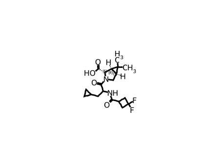 CC1(C)[C@@H]2[C@@H](C(=O)O)N(C(=O)C(CC3CC3)NC(=O)C3CC(F)(F)C3)C[C@@H]21